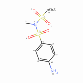 CCCCCCCCS(=O)(=O)N(C)S(=O)(=O)c1ccc(N)cc1